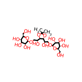 CC1(C)O[C@H]([C@H](O)CO[C@@H]2O[C@H](CO)[C@@H](O)[C@H](O)[C@H]2O)[C@@H]([C@H](O)CO[C@@H]2O[C@H](CO)[C@@H](O)[C@H](O)[C@H]2O)O1